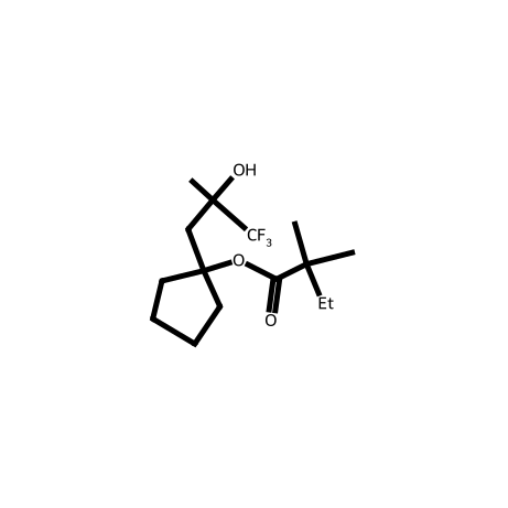 CCC(C)(C)C(=O)OC1(CC(C)(O)C(F)(F)F)CCCC1